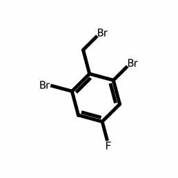 Fc1cc(Br)c(CBr)c(Br)c1